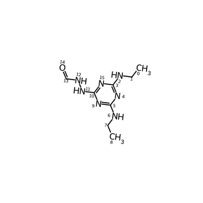 CCNc1nc(NCC)nc(NNC=O)n1